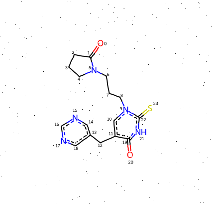 O=C1CCCN1CCCn1cc(Cc2cncnc2)c(=O)[nH]c1=S